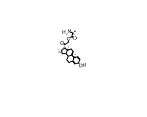 C[C@H](N)C(=O)OCC(=O)[C@H]1[C@@H](C)CC2C3CCC4=CC(O)C=C[C@]4(C)C3=CC[C@@]21C